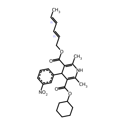 C/C=C/C=C/COC(=O)C1=C(C)NC(C)=C(C(=O)OC2CCCCC2)C1c1cccc([N+](=O)[O-])c1